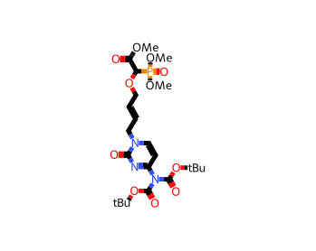 COC(=O)C(OCC=CCn1ccc(N(C(=O)OC(C)(C)C)C(=O)OC(C)(C)C)nc1=O)P(=O)(OC)OC